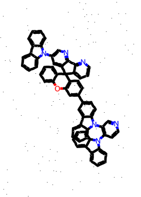 c1ccc2c(c1)Oc1cc(-c3ccc4c(c3)c3ccccc3n4-c3cnccc3-n3c4ccccc4c4ccccc43)ccc1C21c2cccnc2-c2ncc(-n3c4ccccc4c4ccccc43)cc21